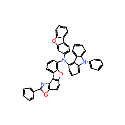 c1ccc(-c2nc3c(ccc4oc5c(N(c6ccc7c(c6)oc6ccccc67)c6cccc7c6c6ccccc6n7-c6ccccc6)cccc5c43)o2)cc1